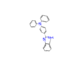 c1ccc(N(c2ccccc2)c2ccc(C3=Nc4ccccc4CN3)cc2)cc1